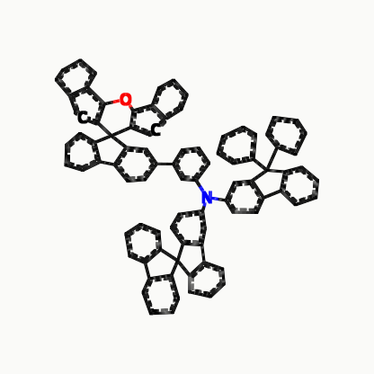 c1ccc(C2(c3ccccc3)c3ccccc3-c3ccc(N(c4cccc(-c5ccc6c(c5)C5(c7ccccc7-6)c6ccc7ccccc7c6Oc6c5ccc5ccccc65)c4)c4ccc5c(c4)-c4ccccc4C54c5ccccc5-c5ccccc54)cc32)cc1